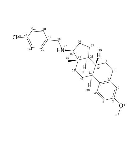 COc1ccc2c(c1)CC[C@@H]1[C@@H]2CC[C@]2(C)[C@@H](NCc3ccc(Cl)cc3)CC[C@@H]12